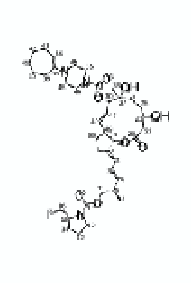 C/C(=C\C=C\[C@@H](C)COC(=O)N1CCC[C@H]1CF)[C@H]1OC(=O)C[C@H](O)CC[C@@](C)(O)[C@@H](OC(=O)N2CCN(C3CCCCCC3)CC2)/C=C/[C@@H]1C